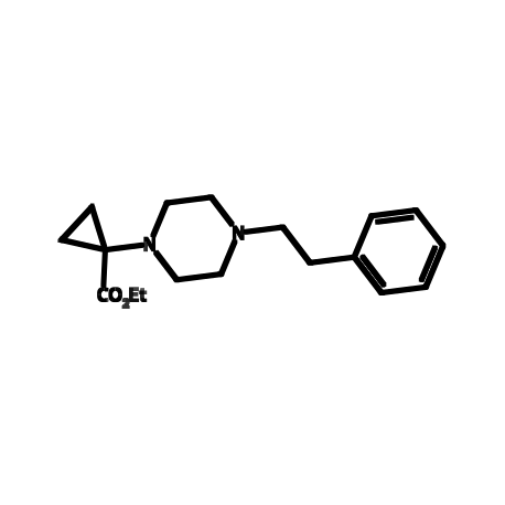 CCOC(=O)C1(N2CCN(CCc3ccccc3)CC2)CC1